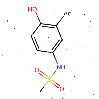 CC(=O)c1cc(NS(C)(=O)=O)ccc1O